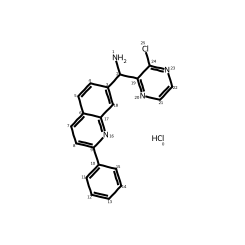 Cl.NC(c1ccc2ccc(-c3ccccc3)nc2c1)c1nccnc1Cl